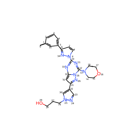 Cc1cccc(-c2ccn(-c3nc(N4CCOCC4)n4nc(-c5cnn(CCCO)c5)cc4n3)n2)c1